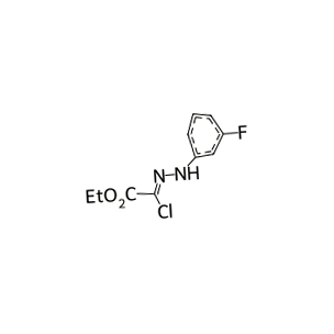 CCOC(=O)C(Cl)=NNc1cccc(F)c1